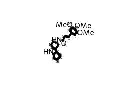 COc1cc(/C=C/C(=O)NC2CCc3[nH]c4ccccc4c3C2)cc(OC)c1OC